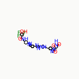 Cn1c(=O)n([C@@H]2CCC(=O)NC2=O)c2ccc(CCN3CCN(c4cnc(-c5ccc6cn(C7CCC(CNC(=O)c8cc(F)c(O)c(F)c8F)CC7)nc6c5)cn4)CC3)cc21